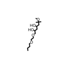 CCCCOCCOCC(O)CC(O)CC(C)(C)OC